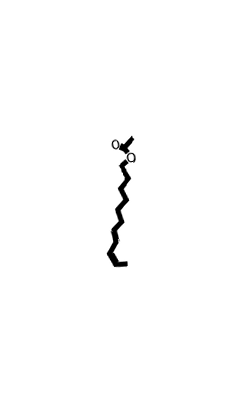 C/C=C\CCCCCCCCOC(C)=O